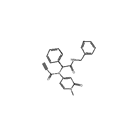 C#CC(=O)N(c1ccn(C)c(=O)c1)C(C(=O)NCc1ccccc1)c1ccccc1